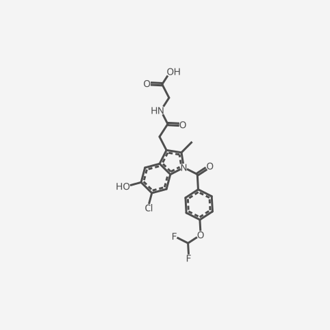 Cc1c(CC(=O)NCC(=O)O)c2cc(O)c(Cl)cc2n1C(=O)c1ccc(OC(F)F)cc1